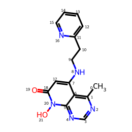 Cc1ncnc2c1c(NCCc1ccccn1)cc(=O)n2O